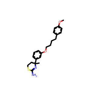 COc1ccc(CCCCOc2cccc(C3(C)CCSC(N)=N3)c2)cc1